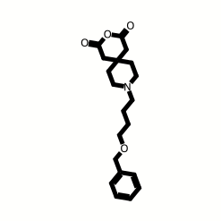 O=C1CC2(CCN(CCCCOCc3ccccc3)CC2)CC(=O)O1